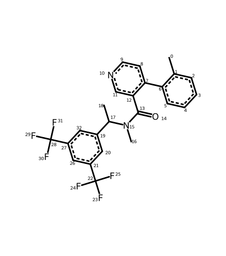 Cc1ccccc1-c1ccncc1C(=O)N(C)C(C)c1cc(C(F)(F)F)cc(C(F)(F)F)c1